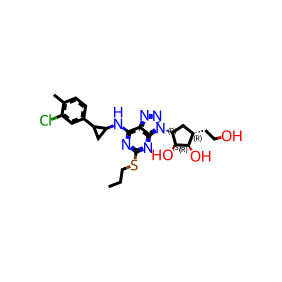 CCCSc1nc(NC2CC2c2ccc(C)c(Cl)c2)c2nnn([C@@H]3C[C@H](CCO)[C@@H](O)[C@H]3O)c2n1